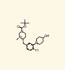 C[C@H]1CN(C(=O)OC(C)(C)C)CCN1Cc1ccc(Cl)c(N2CCC(O)CC2)c1